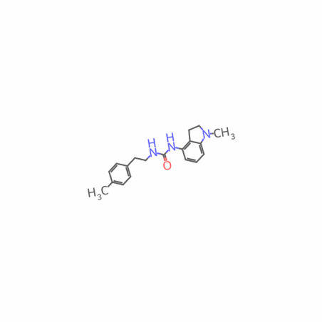 Cc1ccc(CCNC(=O)Nc2cccc3c2CCN3C)cc1